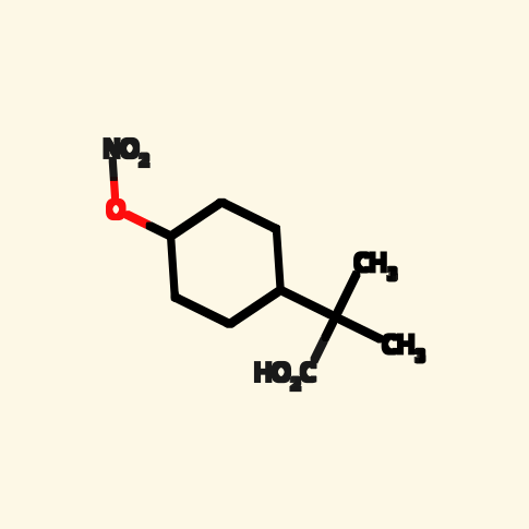 CC(C)(C(=O)O)C1CCC(O[N+](=O)[O-])CC1